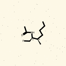 CCCC[C@@H](C)[C@@H](CF)NC(C)=O